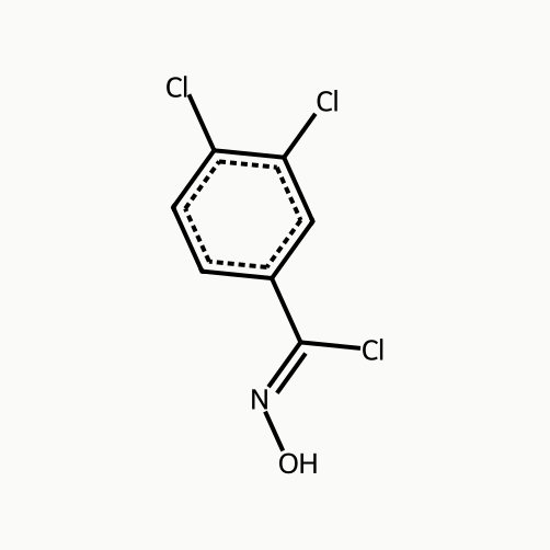 O/N=C(\Cl)c1ccc(Cl)c(Cl)c1